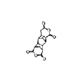 O=C1CC2C3CC(C2C(=O)O1)C1C2CC(C(=O)OC2=O)C31